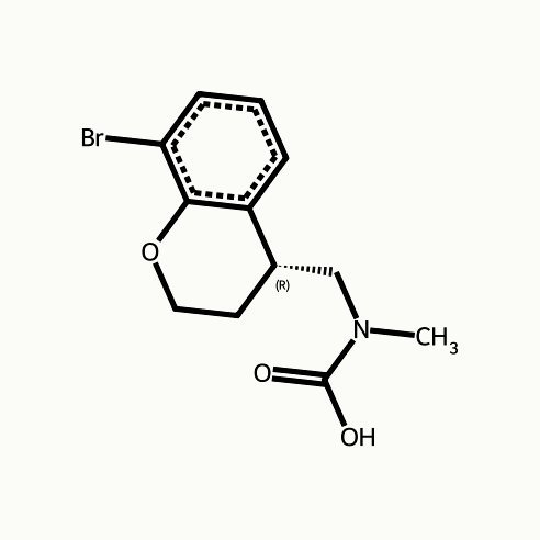 CN(C[C@@H]1CCOc2c(Br)cccc21)C(=O)O